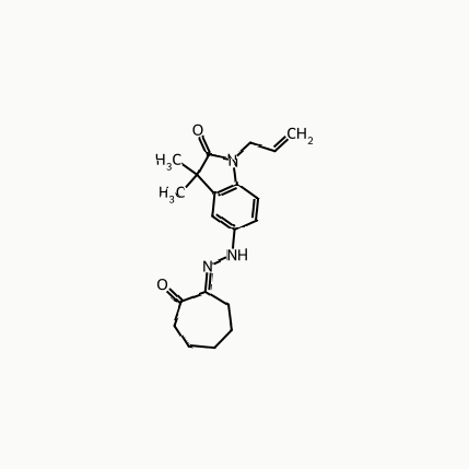 C=CCN1C(=O)C(C)(C)c2cc(N/N=C3\CCCCCC3=O)ccc21